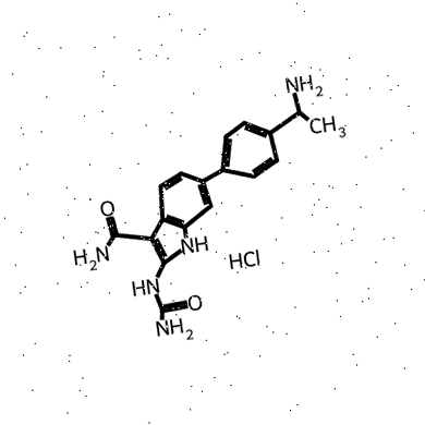 CC(N)c1ccc(-c2ccc3c(C(N)=O)c(NC(N)=O)[nH]c3c2)cc1.Cl